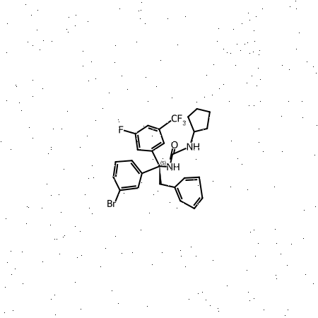 O=C(NC1CCCC1)N[C@](Cc1ccccc1)(c1cccc(Br)c1)c1cc(F)cc(C(F)(F)F)c1